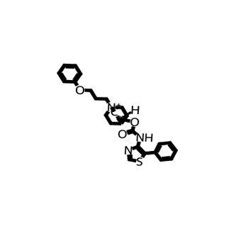 O=C(Nc1ncsc1-c1ccccc1)O[C@H]1C[N+]2(CCCOc3ccccc3)CCC1CC2